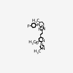 COc1cc(C=Cc2nc3n(n2)CCC(C)N3c2ccc(F)cc2)cnc1-n1cnc(C)c1